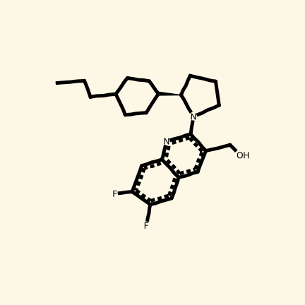 CCCC1CCC([C@H]2CCCN2c2nc3cc(F)c(F)cc3cc2CO)CC1